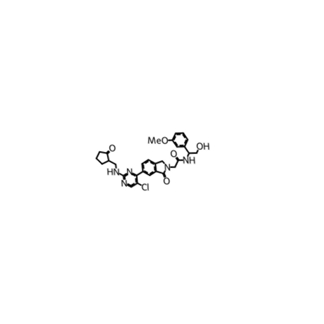 COc1cccc(C(CO)NC(=O)CN2Cc3ccc(-c4nc(NCC5CCCC5=O)ncc4Cl)cc3C2=O)c1